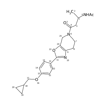 CC(=O)NC(C)CC(=O)N1CCc2nc(-c3ccc(OCC4CC4)cc3)oc2C1